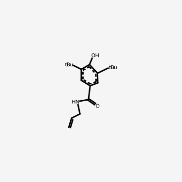 C=CCNC(=O)c1cc(C(C)(C)C)c(O)c(C(C)(C)C)c1